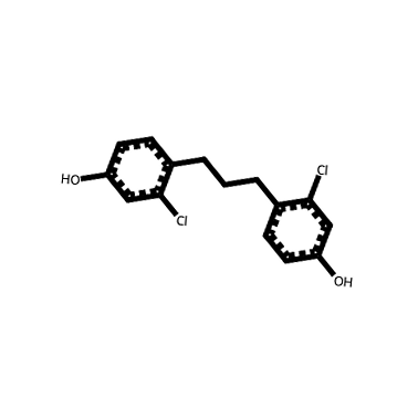 Oc1ccc(CCCc2ccc(O)cc2Cl)c(Cl)c1